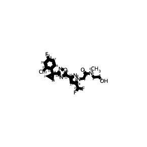 CN(CCO)C(=O)Cn1nc(-c2nc(C3(c4ccc(F)cc4Cl)CC3)no2)cc1C(F)F